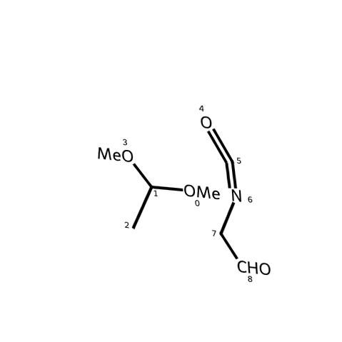 COC(C)OC.O=C=NCC=O